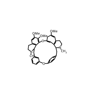 COC1=CC2=C3C=C(C1)Oc1c(OC)c(OC)cc4c1C(Cc1cccc(c1)Oc1ccc(cc1)CC3N(C)CC2)N(C)CC4